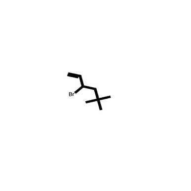 C=CC(Br)CC(C)(C)C